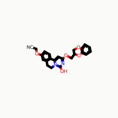 N#CCOc1ccc2c(c1)CCN1C2=CC(OCC2COc3ccccc3O2)=NC1O